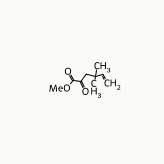 C=CC(C)(C)CC(=O)C(=O)OC